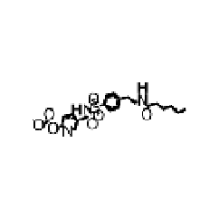 CCCCCC(=O)NCCc1ccc(S(=O)(=O)NC(=O)c2ccc(OC(=O)OC)nc2)cc1